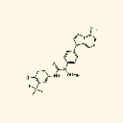 Cl.Nc1cccc2c1ccn2-c1ccc(N(O)C(=O)Nc2ccc(Cl)c(C(F)(F)F)c2)cc1